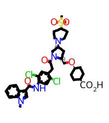 Cn1cc(C(=O)Nc2cc(Cl)c(CC(=O)N3C[C@@H](N4CCC(S(C)(=O)=O)CC4)C[C@H]3CO[C@H]3CC[C@H](C(=O)O)CC3)cc2Cl)c2ccccc21